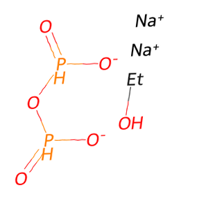 CCO.O=[PH]([O-])O[PH](=O)[O-].[Na+].[Na+]